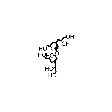 OCC(O)CC(=CCOCC=C(CC(O)CO)CC(O)CO)CC(O)CO